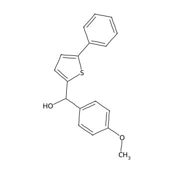 COc1ccc(C(O)c2ccc(-c3ccccc3)s2)cc1